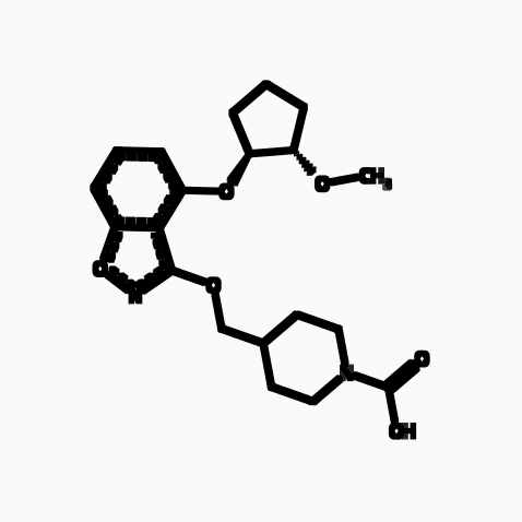 CO[C@H]1CCC[C@@H]1Oc1cccc2onc(OCC3CCN(C(=O)O)CC3)c12